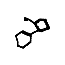 Brc1ccccc1C1=CCCCC1